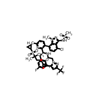 Cc1ccc(-c2ccc(Cl)c3c(NS(C)(=O)=O)nn(C)c23)c([C@H](Cc2cc(F)cc(F)c2)NC(=O)Cn2nc(C(F)(F)F)cc2C2CC2CCC(C)(C)S(=O)(=O)C2CC2)n1